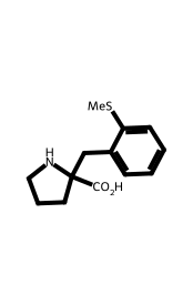 CSc1ccccc1CC1(C(=O)O)CCCN1